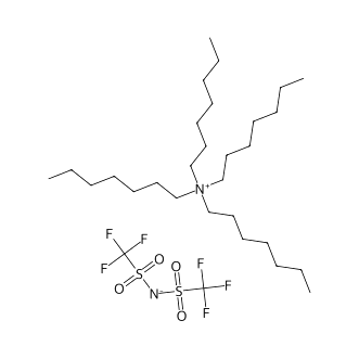 CCCCCCC[N+](CCCCCCC)(CCCCCCC)CCCCCCC.O=S(=O)([N-]S(=O)(=O)C(F)(F)F)C(F)(F)F